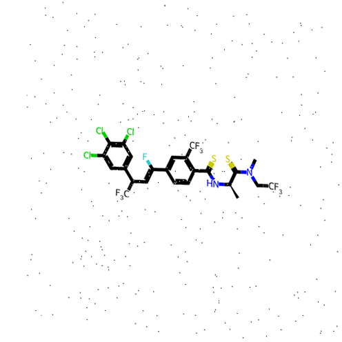 C[C@@H](NC(=S)c1ccc(/C(F)=C/C(c2cc(Cl)c(Cl)c(Cl)c2)C(F)(F)F)cc1C(F)(F)F)C(=S)N(C)CC(F)(F)F